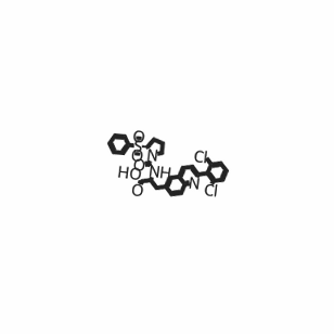 O=C(O)C(Cc1ccc2nc(-c3c(Cl)cccc3Cl)ccc2c1)NC(=O)N1CCC[C@@H]1S(=O)(=O)c1ccccc1